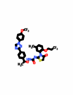 Cc1ccc(OCCC(F)(F)F)c(N2C(=O)CS/C2=N\C(=O)NOC(C)c2ccc(-c3ncn(-c4ccc(OC(F)(F)F)cc4)n3)cc2)c1